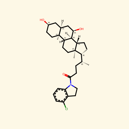 C[C@H](CCC(=O)N1CCc2c(Cl)cccc21)[C@H]1CC[C@H]2[C@@H]3[C@H](O)C[C@@H]4C[C@H](O)CC[C@]4(C)[C@H]3CC[C@]12C